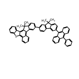 CC1(C)c2ccc(-c3c4ccccc4c(-c4ccccc4)c4ccccc34)cc2-c2ccc(-c3ccc4c(c3)-c3c(c5c6ccccc6sc5c5ccccc35)C4(C)C)cc21